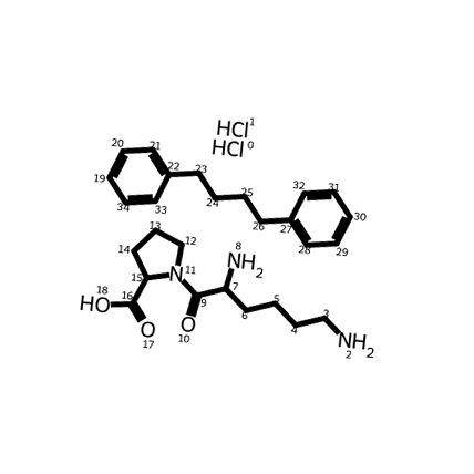 Cl.Cl.NCCCCC(N)C(=O)N1CCCC1C(=O)O.c1ccc(CCCCc2ccccc2)cc1